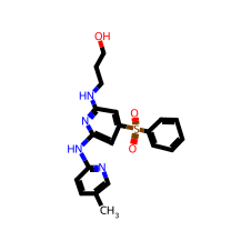 Cc1ccc(Nc2cc(S(=O)(=O)c3ccccc3)cc(NCCCO)n2)nc1